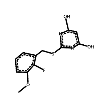 COc1cccc(CSc2nc(O)cc(O)n2)c1F